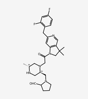 C[C@@H]1CN(CC(=O)N2CC(C)(C)c3cnc(Cc4ccc(F)cc4F)cc32)[C@@H](CN2CCCC2C=O)CN1